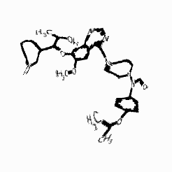 COc1cc2c(N3CCN(N(C=O)c4ccc(OC(C)C)cc4)CC3)ncnc2cc1OC(C(C)O)C1CCCNC1